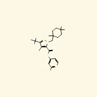 CSc1cc(NC(=O)c2c(C)c(C(C)(F)F)nn2CC2(C)CCC(F)(F)CC2)ccn1